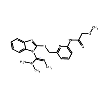 COCC(=O)Nc1cccc(COc2nc3ccccc3n2/C(=N/N)N(C)N)n1